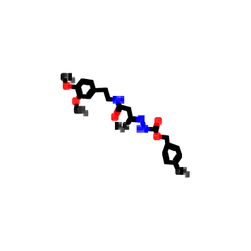 COc1ccc(CCNC(=O)C/C(C)=N/NC(=O)OCc2ccc(C)cc2)cc1OC